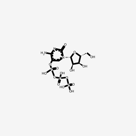 Nc1nc(=O)n([C@@H]2O[C@H](CO)[C@@H](O)[C@H]2O)cc1OP(=O)(O)OP(=O)(O)OP(=O)(O)O